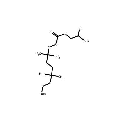 CCCCC(CC)COC(=O)OOC(C)(C)CCC(C)(C)OOC(C)(C)C